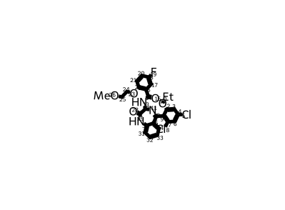 CCOc1cc(Cl)cc(Cl)c1C1=NC(NC(=O)c2cc(F)ccc2OCCOC)C(=O)Nc2ccccc21